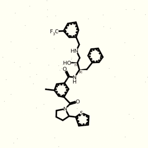 Cc1cc(C(=O)N[C@H](Cc2ccccc2)[C@@H](O)CNCc2cccc(C(F)(F)F)c2)cc(C(=O)N2CCCC2c2cccs2)c1